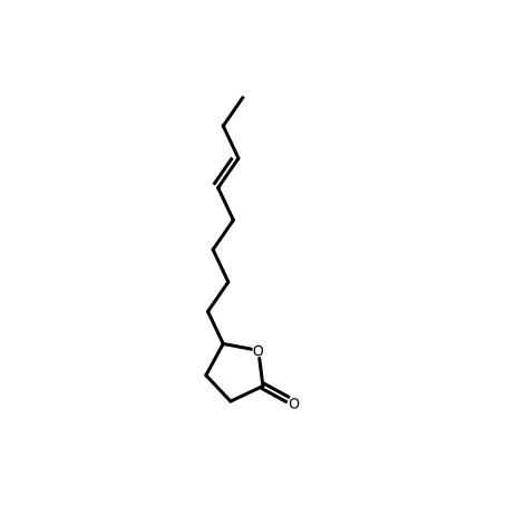 CCC=CCCCCC1CCC(=O)O1